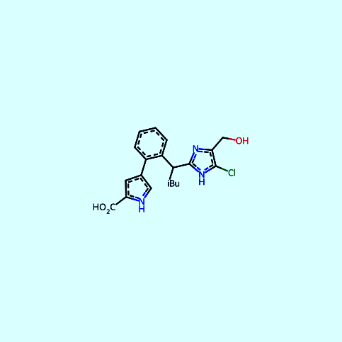 CCC(C)C(c1nc(CO)c(Cl)[nH]1)c1ccccc1-c1c[nH]c(C(=O)O)c1